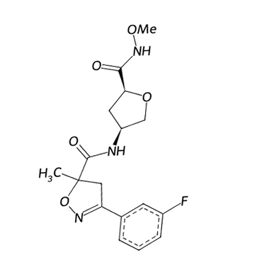 CONC(=O)[C@@H]1C[C@H](NC(=O)C2(C)CC(c3cccc(F)c3)=NO2)CO1